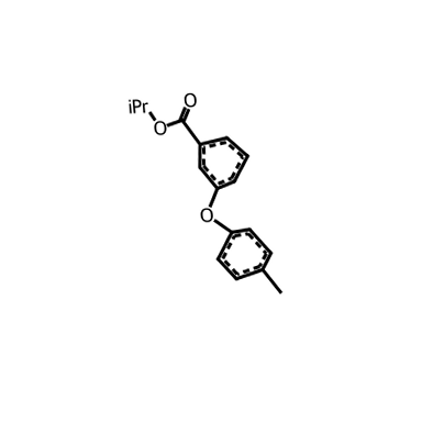 Cc1ccc(Oc2cccc(C(=O)OC(C)C)c2)cc1